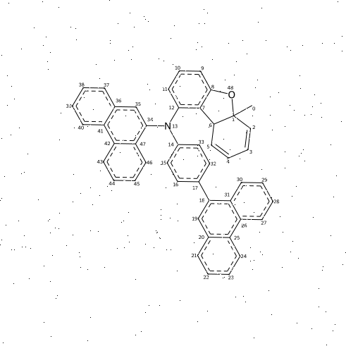 CC12C=CC=CC1c1c(cccc1N(c1ccc(-c3cc4ccccc4c4ccccc34)cc1)c1cc3ccccc3c3ccccc13)O2